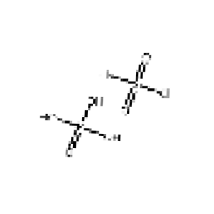 O=P(O)(O)O.O=S(=O)(Cl)Cl